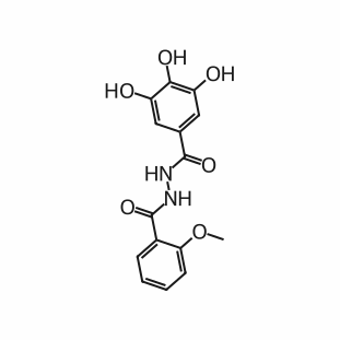 COc1ccccc1C(=O)NNC(=O)c1cc(O)c(O)c(O)c1